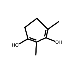 CC1=C(O)C(C)=C(O)CC1